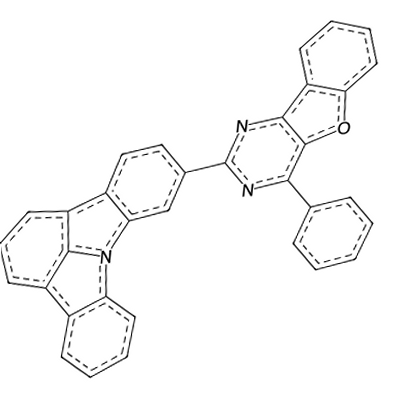 c1ccc(-c2nc(-c3ccc4c5cccc6c7ccccc7n(c4c3)c65)nc3c2oc2ccccc23)cc1